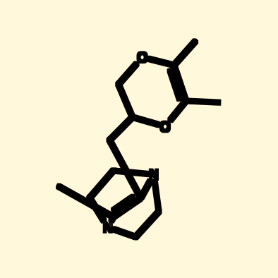 CC1=C(C)OC(CC2=C(C)N3CCN2CC3)CO1